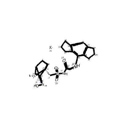 CC1(C)C2CC[C@@]1(CS(=O)(=O)NC(=O)Nc1c3c(cc4c1CCC4)CCC3)/C(=N/O)C2.[K]